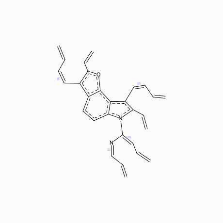 C=C/C=C\c1c(C=C)oc2c1ccc1c2c(/C=C\C=C)c(C=C)n1C(=C/C=C)/N=C\C=C